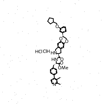 COC(=O)[C@H](Cc1ccc(-c2ccnc(C)c2C)cc1)NC(=O)[C@@H]1Cc2cc3c(cc2CN1)O[C@@H](c1cccc(OCC2CCCC2)c1)CO3.Cl.Cl